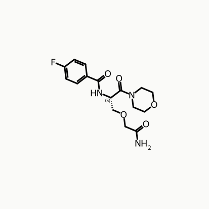 NC(=O)COC[C@H](NC(=O)c1ccc(F)cc1)C(=O)N1CCOCC1